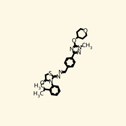 CC(C)c1ccccc1N1C(=O)CSC1=NN=Cc1ccc(-c2nc(OC3CCOCC3)n(C)n2)cc1